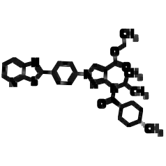 CCOC(=O)c1cn(-c2ccc(-c3nc4cccnc4s3)cc2)nc1N(C(=O)[C@H]1CC[C@H](C)CC1)C(C)C